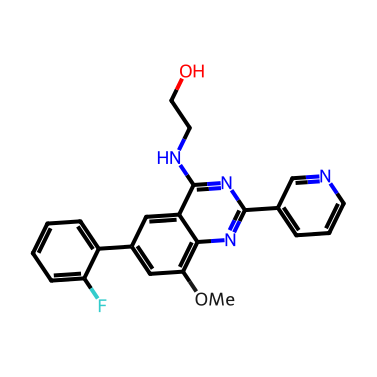 COc1cc(-c2ccccc2F)cc2c(NCCO)nc(-c3cccnc3)nc12